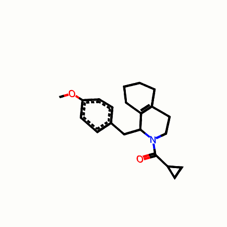 COc1ccc(CC2C3=C(CCCC3)CCN2C(=O)C2CC2)cc1